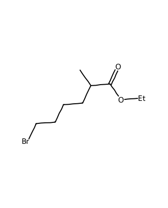 CCOC(=O)C(C)CCCCBr